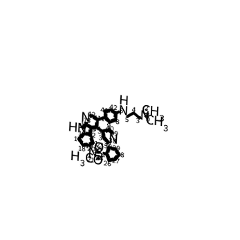 CN(C)CCCNc1ccc(-c2cnc3[nH]c4ccc(N(C)S(=O)(=O)c5ccccc5)cc4c3c2-c2ccncc2)cc1